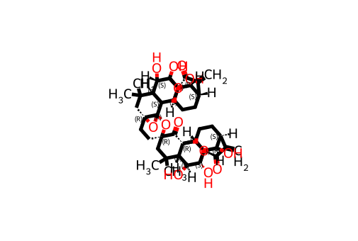 C=C1C(=O)[C@]23[C@H](O)[C@H]1CC[C@H]2[C@@]12COC3(O)[C@@H](O)[C@@H]1C(C)(C)C[C@]13CC[C@]4(CC(C)(C)[C@H]5[C@H](O)[C@@]6(O)OC[C@@]5(C4=O)[C@@H]4CC[C@H]5C(=C)C(=O)[C@]46[C@@H]5O)O[C@@]12O3